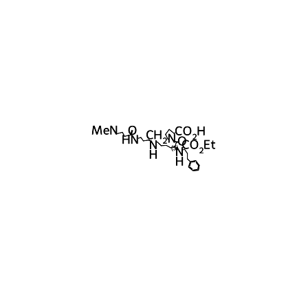 C=C(CCNC(=O)CCCNC)NCCCC[C@H](NC(CCc1ccccc1)C(=O)OCC)C(=O)N1CCCC1C(=O)O